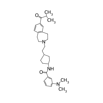 CC(C)C(=O)c1ccc2c(c1)CCN(CCC1CCC(NC(=O)c3cccc(N(C)C)c3)CC1)CC2